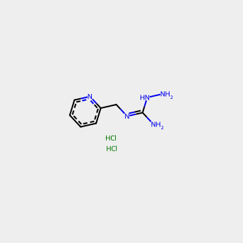 Cl.Cl.NNC(N)=NCc1ccccn1